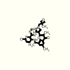 Cc1cc(C(C)Nc2ccc(Cl)nc2C(N)=NO)c2oc(-c3cnn(CC4(C)COC4)c3)c(C)c(=O)c2c1